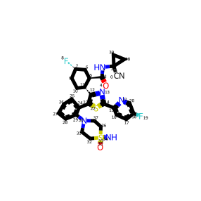 N#CC1(NC(=O)[C@@H]2C[C@@H](F)CC[C@H]2c2nc(-c3ccc(F)cn3)sc2-c2ccccc2N2CCS(=N)(=O)CC2)CC1